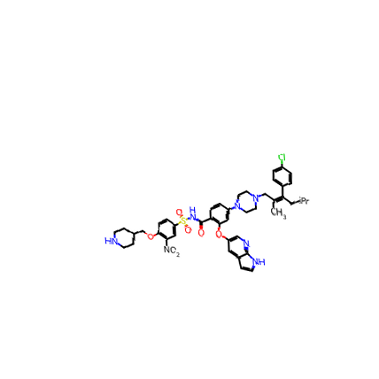 C/C(CN1CCN(c2ccc(C(=O)NS(=O)(=O)c3ccc(OCC4CCNCC4)c([N+](=O)[O-])c3)c(Oc3cnc4[nH]ccc4c3)c2)CC1)=C(\CC(C)C)c1ccc(Cl)cc1